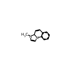 CN1C=CN2c3ccccc3C=CC12